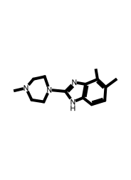 Cc1ccc2[nH]c(N3CCN(C)CC3)nc2c1C